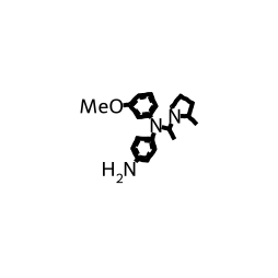 COc1cccc(N(c2ccc(N)cc2)C(C)N2CCCC2C)c1